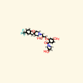 O=C(c1ccc(O)cc1OC[C@@H](O)CN1CCC2(CC1)Cc1cc(C(F)(F)F)ccc1O2)N1CC[C@H](O)C1